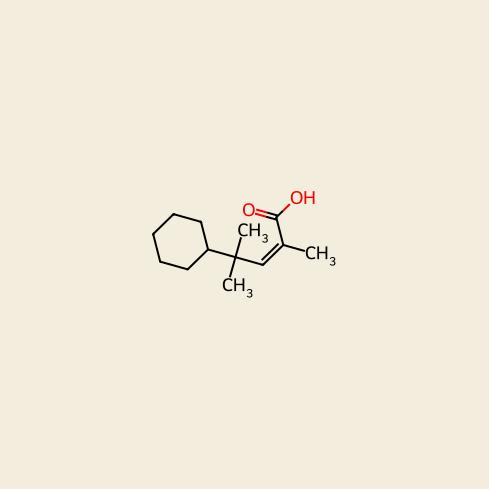 CC(=CC(C)(C)C1CCCCC1)C(=O)O